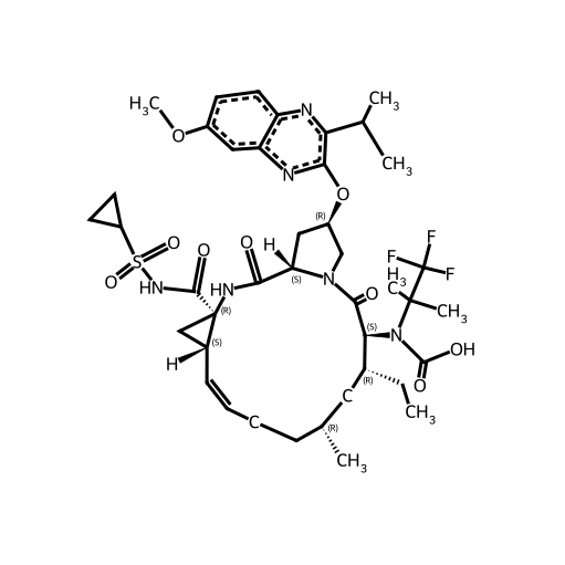 CC[C@@H]1C[C@H](C)CCC=C[C@@H]2C[C@@]2(C(=O)NS(=O)(=O)C2CC2)NC(=O)[C@@H]2C[C@@H](Oc3nc4cc(OC)ccc4nc3C(C)C)CN2C(=O)[C@H]1N(C(=O)O)C(C)(C)C(F)(F)F